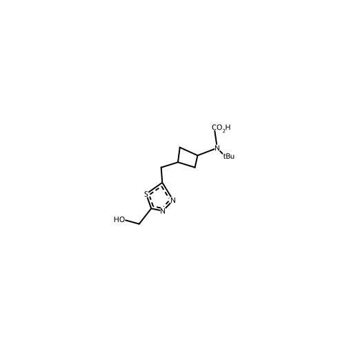 CC(C)(C)N(C(=O)O)C1CC(Cc2nnc(CO)s2)C1